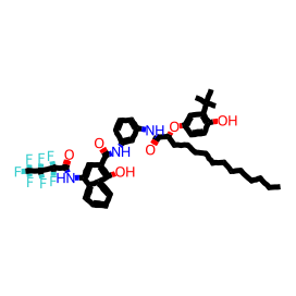 CCCCCCCCCCCCC(Oc1ccc(O)c(C(C)(C)C)c1)C(=O)Nc1cccc(NC(=O)c2cc(NC(=O)C(F)(F)C(F)(F)C(F)(F)F)c3ccccc3c2O)c1